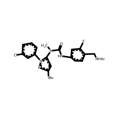 CC(=O)NCc1ccc(NC(=O)N(C)c2cc(C(C)(C)C)nn2-c2cccc(Cl)c2)cc1F